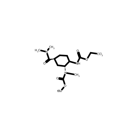 CN(C)C(=O)[C@H]1CCC(NC(=O)OCC(Cl)(Cl)Cl)[C@H](N(C)C(=O)OC(C)(C)C)C1